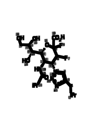 CC(C)Cc1cn([C@H]2C(F)C(F)(C(=O)O)O[C@@H]([C@H](O)[C@H](O)CO)[C@@H]2NC(=O)C(C)C)nn1